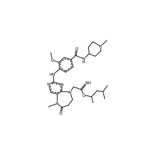 COc1cc(C(=O)NC2CCN(C)CC2)ccc1Nc1ncc2c(n1)N(CC(=N)OC(C)CC(C)C)CCC(=O)N2C